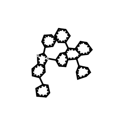 c1ccc(-c2ccc3nc(-c4ccccc4)n(-c4ccc5c(-c6ccccc6)c6ccccc6c(-c6ccccc6)c5c4)c3c2)cc1